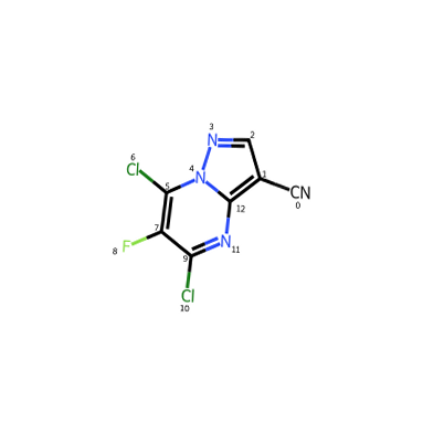 N#Cc1cnn2c(Cl)c(F)c(Cl)nc12